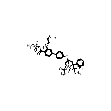 CCCOc1cc(-c2ccc(OC(COC(N)=O)C[C@](O)(c3ccccc3)C(C)(C)C)cc2)ccc1C(=O)NS(C)(=O)=O